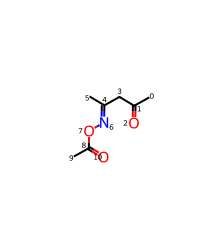 CC(=O)CC(C)=NOC(C)=O